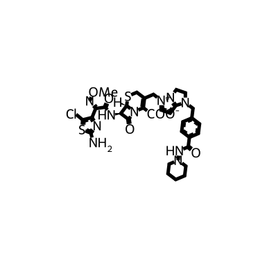 CO/N=C(\C(=O)N[C@@H]1C(=O)N2C(C(=O)[O-])=C(C[n+]3ccc4n3CCN4Cc3ccc(C(=O)NN4CCCCC4)cc3)CS[C@H]12)c1nc(N)sc1Cl